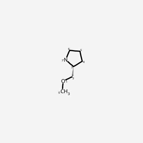 COC[C@H]1CCC[N]1